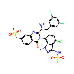 Cn1nc(NS(C)(=O)=O)c2c(Cl)ccc(-n3c([C@@H](N)Cc4cc(F)cc(F)c4)nc4cc(CS(C)(=O)=O)ccc4c3=O)c21